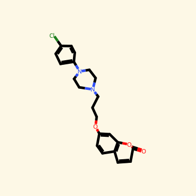 O=c1ccc2ccc(OCCCN3CCN(c4ccc(Cl)cc4)CC3)cc2o1